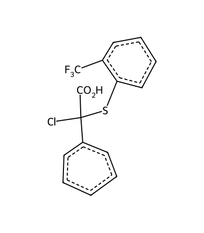 O=C(O)C(Cl)(Sc1ccccc1C(F)(F)F)c1ccccc1